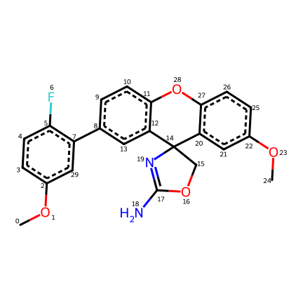 COc1ccc(F)c(-c2ccc3c(c2)C2(COC(N)=N2)c2cc(OC)ccc2O3)c1